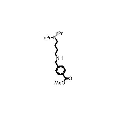 CCCN(CCC)CCCCNCc1ccc(C(=O)OC)cc1